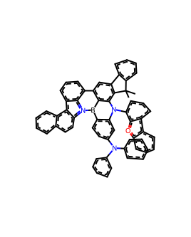 CC1(C)c2ccccc2-c2cc3c4c(c21)N(c1cccc2c1oc1ccccc12)c1cc(N(c2ccccc2)c2ccccc2)ccc1B4n1c2ccc4ccccc4c2c2cccc-3c21